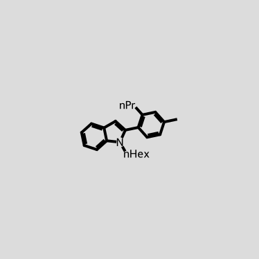 CCCCCCn1c(-c2ccc(C)cc2CCC)cc2ccccc21